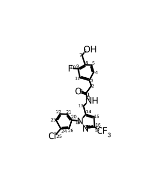 O=C(Cc1ccc(CO)c(F)c1)NCc1cc(C(F)(F)F)nn1-c1cccc(Cl)c1